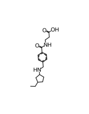 CCC1CCC(NCc2ccc(C(=O)NCCC(=O)O)cc2)C1